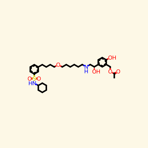 CC(=O)OCc1cc([C@@H](O)CNCCCCCCOCCCCc2cccc(S(=O)(=O)NC3CCCCC3)c2)ccc1O